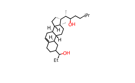 CC[C@H](O)C1CCC2=CC[C@@H]3[C@H](CC[C@]4(C)[C@@H]([C@H](C)[C@H](O)CCC(C)C)CC[C@@H]34)[C@H]2C1